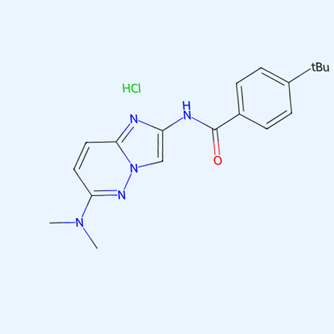 CN(C)c1ccc2nc(NC(=O)c3ccc(C(C)(C)C)cc3)cn2n1.Cl